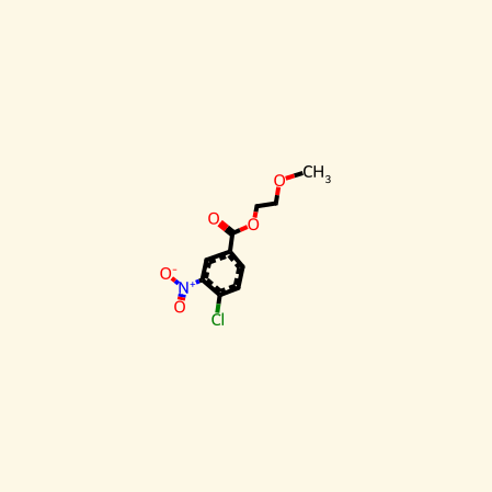 COCCOC(=O)c1ccc(Cl)c([N+](=O)[O-])c1